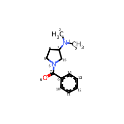 CN(C)C1CCN(C(=O)c2[c]cccc2)C1